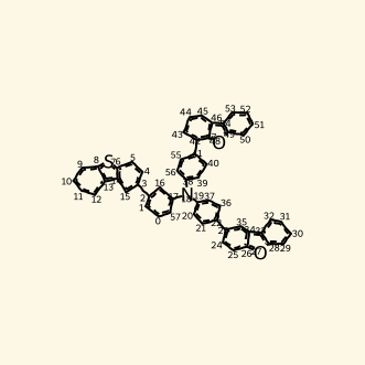 c1cc(-c2ccc3sc4ccccc4c3c2)cc(N(c2ccc(-c3ccc4oc5ccccc5c4c3)cc2)c2ccc(-c3cccc4c3oc3ccccc34)cc2)c1